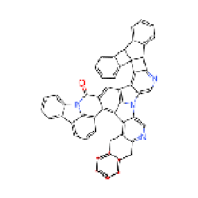 O=c1c2cc3c4c5c(ncc4n4c6cnc7c(c6c(c2c2cccc6c8ccccc8n1c62)c34)C1c2ccccc2C7c2ccccc21)C1c2ccccc2C2c3ccccc3C521